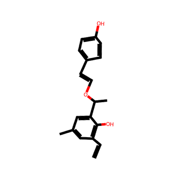 C=Cc1cc(C)cc(C(C)OC=Cc2ccc(O)cc2)c1O